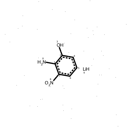 Nc1c(O)cccc1[N+](=O)[O-].[LiH]